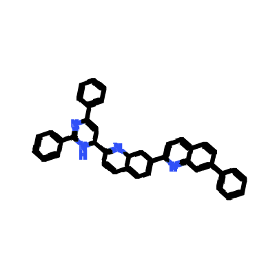 C1=CC(C2C=C(c3ccccc3)N=C(c3ccccc3)N2)=NC2CC(c3ccc4ccc(-c5ccccc5)cc4n3)=CC=C12